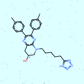 Cc1ccc(-c2nc3c(nc2-c2ccc(C)cc2)N(CCCCCc2nnn[nH]2)C[C@@H](O)C3)cc1